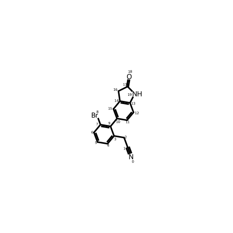 N#CCc1cccc(Br)c1-c1ccc2c(c1)CC(=O)N2